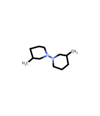 CC1CCCN(N2CCCC(C)C2)C1